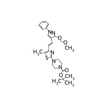 COCOc1nn(-c2ccccc2)cc1/C=C/c1nc(N2CCN(C(=O)OC(C)(C)C)CC2)sc1C